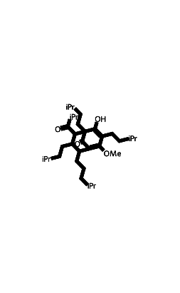 COC1=C2C(=O)C(CCC(C)C)(C(O)=C1CCC(C)C)C(C(=O)C(C)C)C(CCC(C)C)C2CCCC(C)C